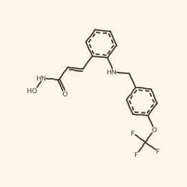 O=C(C=Cc1ccccc1NCc1ccc(OC(F)(F)F)cc1)NO